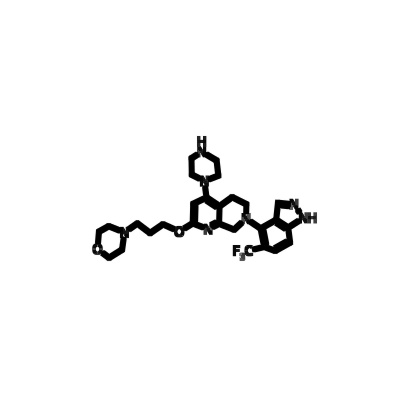 FC(F)(F)c1ccc2[nH]ncc2c1N1CCc2c(N3CCNCC3)cc(OCCCN3CCOCC3)nc2C1